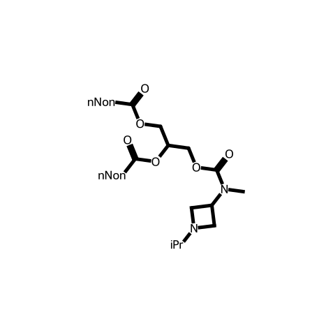 CCCCCCCCCC(=O)OCC(COC(=O)N(C)C1CN(C(C)C)C1)OC(=O)CCCCCCCCC